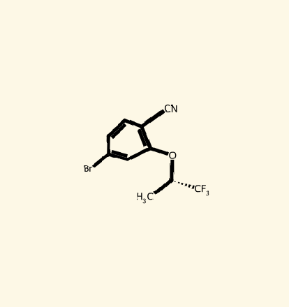 C[C@H](Oc1cc(Br)ccc1C#N)C(F)(F)F